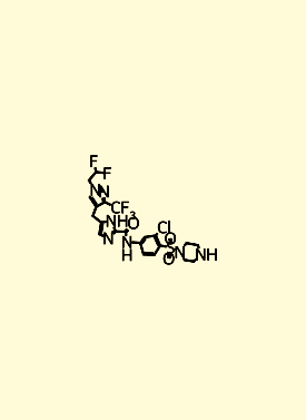 O=C(Nc1ccc(S(=O)(=O)N2CCNCC2)c(Cl)c1)c1ncc(Cc2cn(CC(F)F)nc2C(F)(F)F)[nH]1